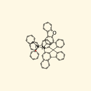 c1ccc(N(c2ccccc2)c2ccc3c(c2)C2(c4ccccc4-3)c3ccccc3-c3c2c(N(c2ccccc2)c2ccc4oc5ccccc5c4c2)cc2ccccc32)cc1